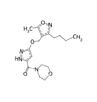 CCCCc1noc(C)c1COc1cc(C(=O)N2CCOCC2)[nH]n1